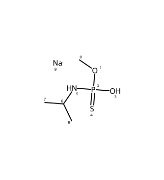 COP(O)(=S)NC(C)C.[Na]